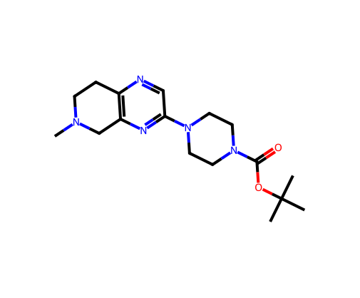 CN1CCc2ncc(N3CCN(C(=O)OC(C)(C)C)CC3)nc2C1